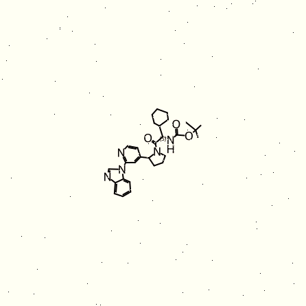 CC(C)(C)OC(=O)N[C@H](C(=O)N1CCCC1c1ccnc(-n2cnc3ccccc32)c1)C1CCCCC1